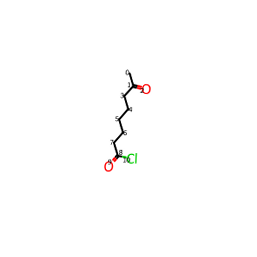 CC(=O)CCCCCC(=O)Cl